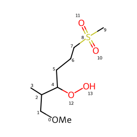 COCC(C)C(CCCS(C)(=O)=O)OO